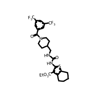 CCOC(=O)c1c(NC(=O)NCC2CCN(C(=O)c3cc(C(F)(F)F)cc(C(F)(F)F)c3)CC2)sc2c1CCCC2